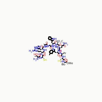 CCC(C)[C@H](NC(=O)[C@H](CS)NC(=O)[C@@H](NC(=O)[C@H](Cc1c[nH]c2ccc(C)cc12)NC(=O)[C@H](CCC(N)=O)NC(=O)[C@H](CC(=O)O)NC(=O)[C@H](Cc1c[nH]c2ccccc12)NC(=O)CNC(=O)[C@H](C)NC(=O)[C@H](Cc1c[nH]cn1)NC(=O)[C@H](CCCN=C(N)N)NC(=O)[C@H](CS)NC(=O)[C@@H](N)[C@@H](C)O)C(C)C)C(=O)OC